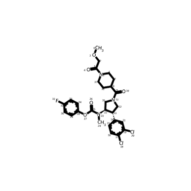 COCC(=O)N1CCC(C(=O)N2C[C@H](c3ccc(Cl)c(Cl)c3)[C@@H](N(C)C(=O)Oc3ccc(F)cc3)C2)CC1